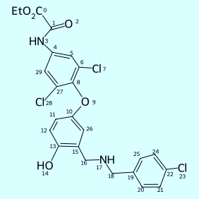 CCOC(=O)C(=O)Nc1cc(Cl)c(Oc2ccc(O)c(CNCc3ccc(Cl)cc3)c2)c(Cl)c1